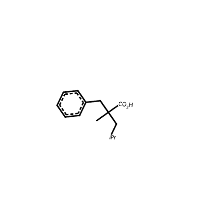 CC(C)CC(C)(Cc1ccccc1)C(=O)O